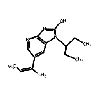 C/C=C(/C)c1cnc2nc(O)n(C(CC)CC)c2c1